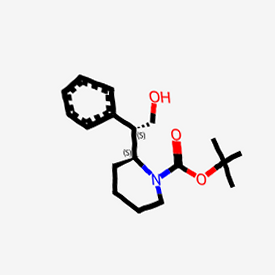 CC(C)(C)OC(=O)N1CCCC[C@H]1[C@@H](CO)c1ccccc1